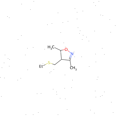 CCSCC1C(C)=NOC1C